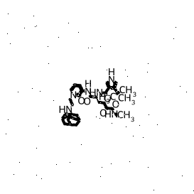 CNC(=O)C(=O)CC[C@H](NC(=O)c1c[nH]cc1C(C)(C)C)C(=O)Nc1cccn(CCNC23CC4CC(CC(C4)C2)C3)c1=O